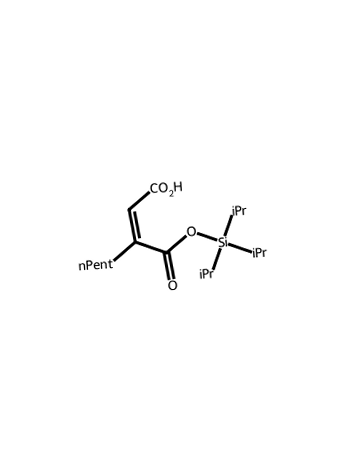 CCCCC/C(=C/C(=O)O)C(=O)O[Si](C(C)C)(C(C)C)C(C)C